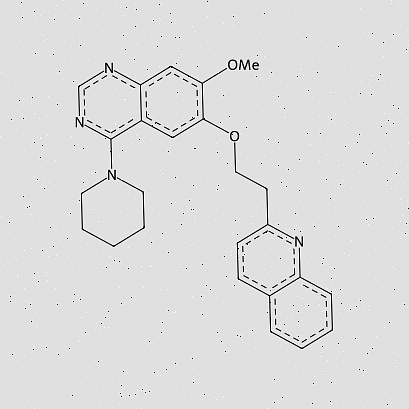 COc1cc2ncnc(N3CCCCC3)c2cc1OCCc1ccc2ccccc2n1